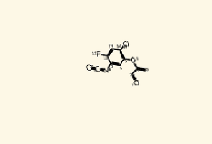 C=C([C]=O)Oc1cc(N=C=O)c(F)cc1Cl